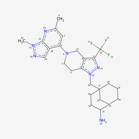 Cc1cc(N2CCc3c(c(C(F)(F)F)nn3CC34CCCC(C3)C(N)CC4)C2)c2cnn(C)c2n1